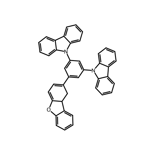 C1=C(c2cc(-n3c4ccccc4c4ccccc43)cc(-n3c4ccccc4c4ccccc43)c2)CC2C(=C1)Oc1ccccc12